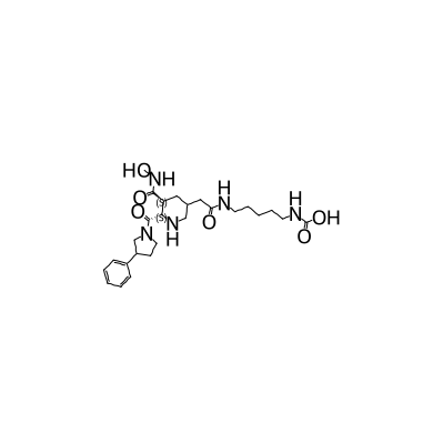 O=C(O)NCCCCCNC(=O)CC1CN[C@H](C(=O)N2CCC(c3ccccc3)C2)[C@@H](C(=O)NO)C1